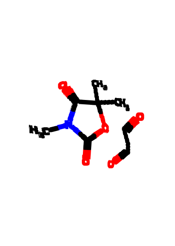 CN1C(=O)OC(C)(C)C1=O.O=CC=O